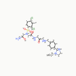 Cc1c(Cl)ccc(S(=O)(=O)N(CC(N)=O)CC(=O)NCC(=O)CNCc2ccc(C3=NCCN3C(=O)O)cc2)c1Cl